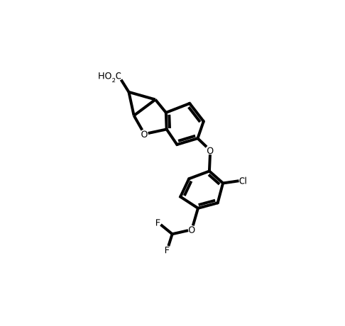 O=C(O)C1C2Oc3cc(Oc4ccc(OC(F)F)cc4Cl)ccc3C21